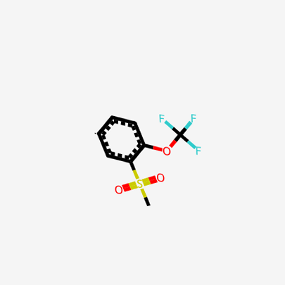 CS(=O)(=O)c1c[c]ccc1OC(F)(F)F